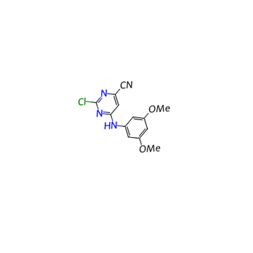 COc1cc(Nc2cc(C#N)nc(Cl)n2)cc(OC)c1